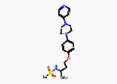 CCC(C)S(=O)(=O)NC(CCOc1ccc(N2CCN(c3ccncc3)CC2)cc1)C(=O)O